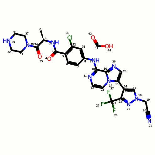 C[C@@H](NC(=O)c1ccc(Nc2nccn3c(-c4cn(CC#N)nc4C(F)(F)F)cnc23)cc1Cl)C(=O)N1CCNCC1.O=CO